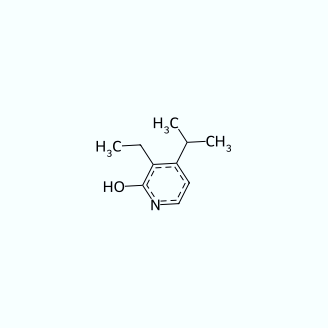 CCc1c(C(C)C)ccnc1O